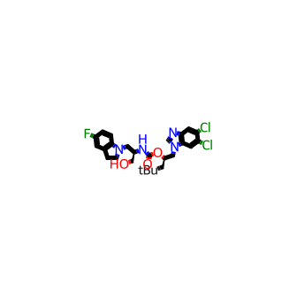 CC(C)(C)C[C@H](Cn1cnc2cc(Cl)c(Cl)cc21)OC(=O)N[C@@H](CO)CN1CCc2cc(F)ccc21